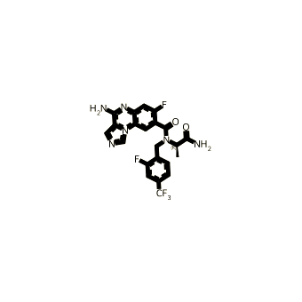 C[C@H](C(N)=O)N(Cc1ccc(C(F)(F)F)cc1F)C(=O)c1cc2c(cc1F)nc(N)c1cncn12